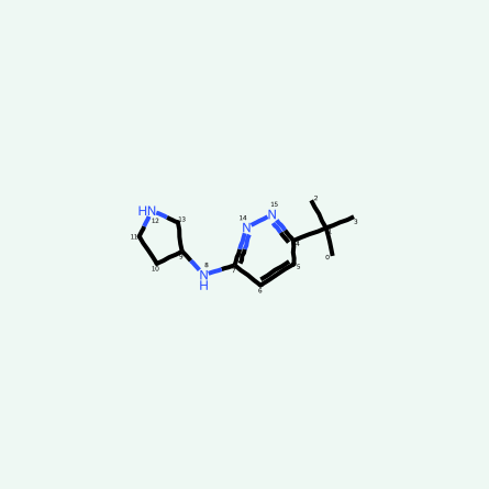 CC(C)(C)c1ccc(NC2CCNC2)nn1